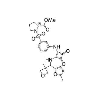 COC(=O)[C@H]1CCCN1S(=O)(=O)c1cccc(Nc2c(NC(c3ccc(C)o3)C3(C)COC3)c(=O)c2=O)c1